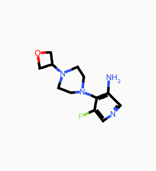 Nc1cncc(F)c1N1CCN(C2COC2)CC1